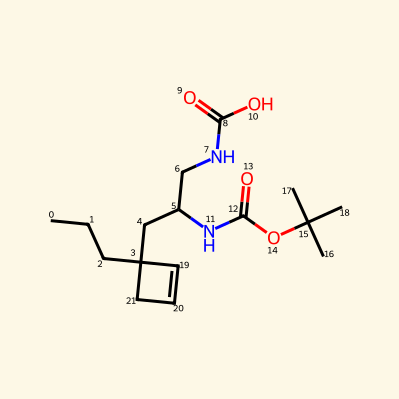 CCCC1(CC(CNC(=O)O)NC(=O)OC(C)(C)C)C=CC1